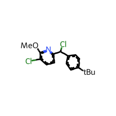 COc1nc(C(Cl)c2ccc(C(C)(C)C)cc2)ccc1Cl